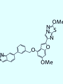 COc1cc(OCc2cccc(-c3ccc4csnc4c3)c2)c2cc(-c3cn4nc(OC)sc4n3)oc2c1